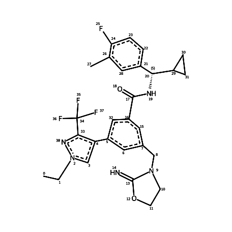 CCn1cc(-c2cc(CN3CCOC3=N)cc(C(=O)N[C@H](c3ccc(F)c(C)c3)C3CC3)c2)c(C(F)(F)F)n1